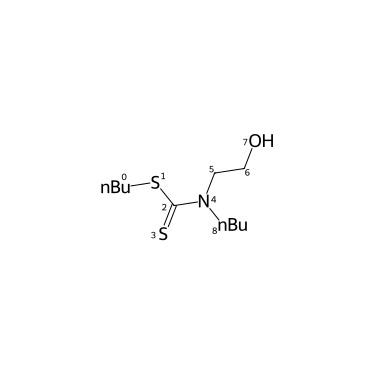 CCCCSC(=S)N(CCO)CCCC